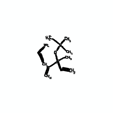 C=C[Si](C)(C=C)O[Si](C)(C)C.C=[CH][Pt]